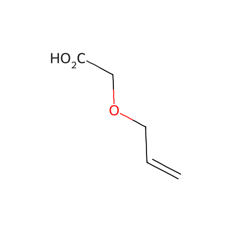 C=CCOCC(=O)O